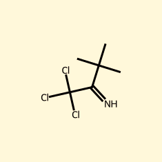 CC(C)(C)C(=N)C(Cl)(Cl)Cl